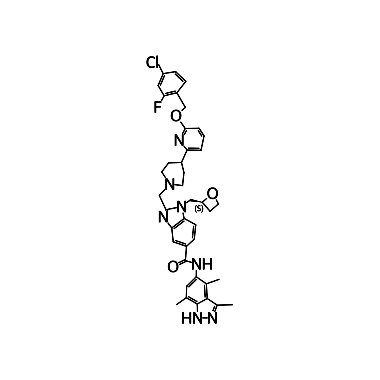 Cc1cc(NC(=O)c2ccc3c(c2)nc(CN2CCC(c4cccc(OCc5ccc(Cl)cc5F)n4)CC2)n3C[C@@H]2CCO2)c(C)c2c(C)n[nH]c12